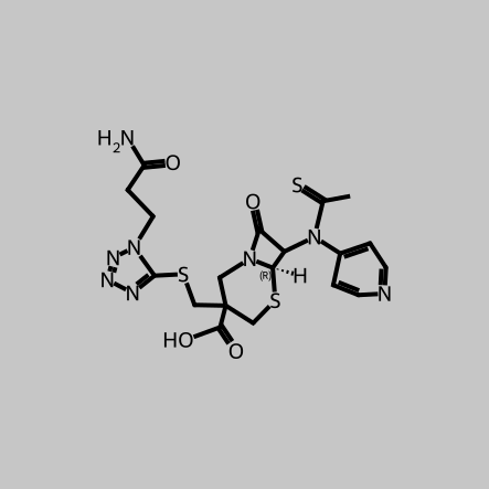 CC(=S)N(c1ccncc1)C1C(=O)N2CC(CSc3nnnn3CCC(N)=O)(C(=O)O)CS[C@H]12